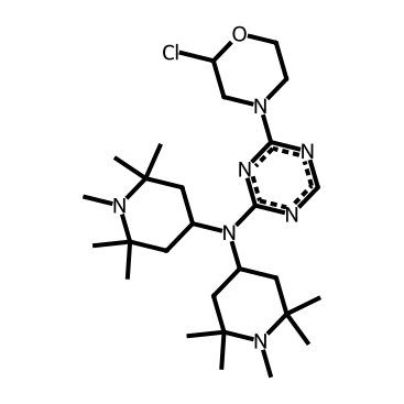 CN1C(C)(C)CC(N(c2ncnc(N3CCOC(Cl)C3)n2)C2CC(C)(C)N(C)C(C)(C)C2)CC1(C)C